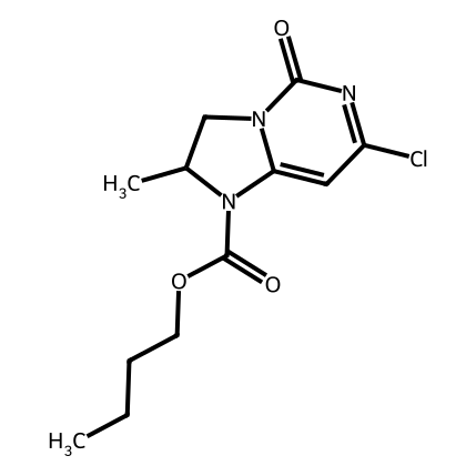 CCCCOC(=O)N1c2cc(Cl)nc(=O)n2CC1C